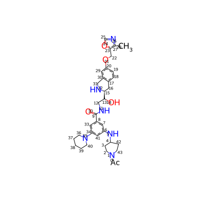 CC(=O)N1CCC(Nc2cc(C(=O)NCC(O)[C@@H]3Cc4ccc(OCc5ocnc5C)cc4CN3)cc(N3CCCCC3)c2)CC1